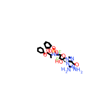 CC(NP(=O)(OC[C@@]1(F)O[C@@H](n2cnc3c(=O)n(N)c(N)nc32)[C@](C)(O)[C@@H]1F)Oc1ccccc1)C(=O)OC1CCCCC1